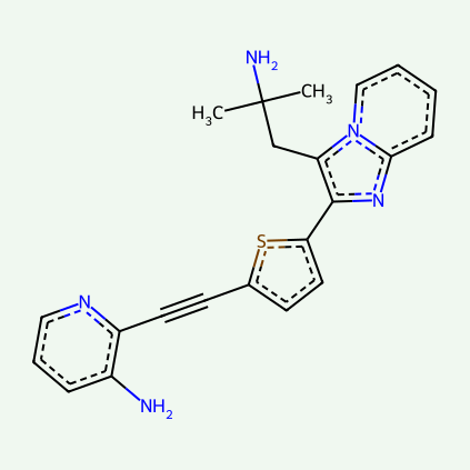 CC(C)(N)Cc1c(-c2ccc(C#Cc3ncccc3N)s2)nc2ccccn12